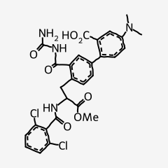 COC(=O)C(Cc1ccc(-c2ccc(N(C)C)cc2C(=O)O)cc1C(=O)NC(N)=O)NC(=O)c1c(Cl)cccc1Cl